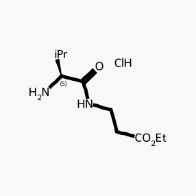 CCOC(=O)CCNC(=O)[C@@H](N)C(C)C.Cl